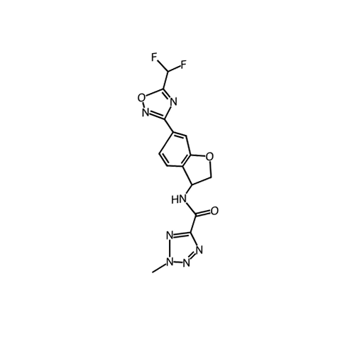 Cn1nnc(C(=O)NC2COc3cc(-c4noc(C(F)F)n4)ccc32)n1